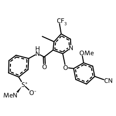 CN[S@+]([O-])c1cccc(NC(=O)c2c(Oc3ccc(C#N)cc3OC)ncc(C(F)(F)F)c2C)c1